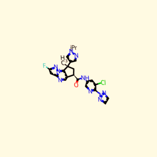 CC(C)n1cc([C@]2(C)C[C@@H](C(=O)Nc3cnc(-n4nccn4)c(Cl)c3)c3cnc4cc(F)nn4c32)cn1